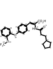 O=C(CCC1CCCC1)NC(=Cc1ccc(Oc2ccccc2OC(F)(F)F)cc1)C(=O)O